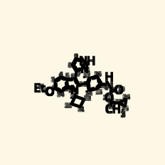 CCOc1ccc2c(-c3cc[nH]n3)c(-c3ccc(NC(=O)OC(C)C4CC4)cc3)n(C3CCC3)c2c1